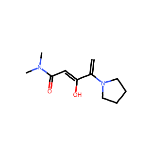 C=C(/C(O)=C/C(=O)N(C)C)N1CCCC1